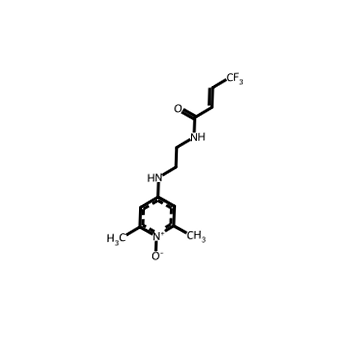 Cc1cc(NCCNC(=O)/C=C/C(F)(F)F)cc(C)[n+]1[O-]